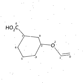 C=COC1CCCC(C(=O)O)C1